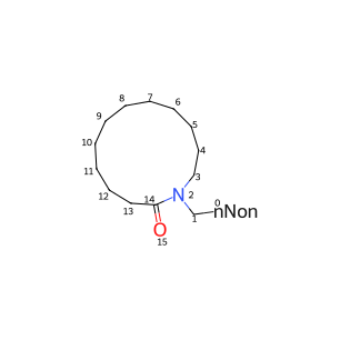 CCCCCCCCCCN1CCCCCCCCCCCC1=O